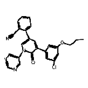 CCCOc1cc(Cl)cc(-c2cc(-c3ccccc3C#N)cn(-c3cncnc3)c2=O)c1